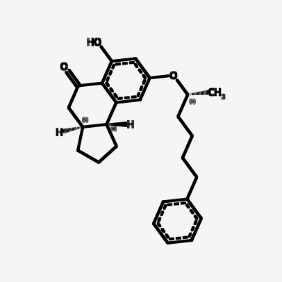 C[C@H](CCCCc1ccccc1)Oc1cc(O)c2c(c1)[C@@H]1CCC[C@H]1CC2=O